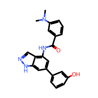 CN(C)c1cccc(C(=O)Nc2cc(-c3cccc(O)c3)cc3[nH]ncc23)c1